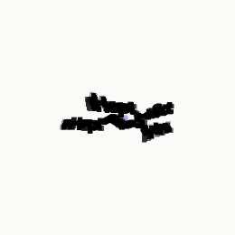 CCCCCCC/C=C/[Si](CCCCCC)(CCCCCCC)CCCCCCCC